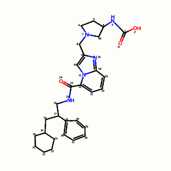 O=C(O)NC1CCN(Cc2cn3c(C(=O)NCC(CC4CCCCC4)c4ccccc4)cccc3n2)C1